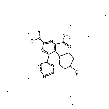 COC1CCC(c2c(C(N)=O)nc([S+](C)[O-])nc2-c2ccncc2)CC1